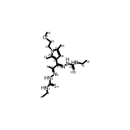 CCNC(=S)N/N=C(C)/C(=N/NC(=S)NCC)c1cc(C)n(CCOC)c1C